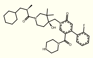 C[C@H](CC1CCCCC1)C(=O)N1CC[C@@](O)(Cn2cc(C(=O)N3CCNCC3)c(-c3ccccc3F)cc2=O)C(C)(C)C1